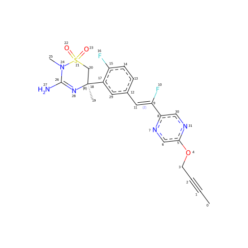 CC#CCOc1cnc(/C(F)=C/c2ccc(F)c([C@]3(C)CS(=O)(=O)N(C)C(N)=N3)c2)cn1